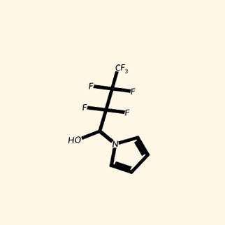 OC(n1cccc1)C(F)(F)C(F)(F)C(F)(F)F